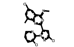 CN=c1oc(-c2cc(Cl)nn2-c2ncccc2Cl)nc2c(C)cc(Cl)cc12